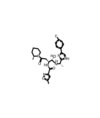 Cc1cc(C(=O)N[C@@H](CC(=O)N2CCCC[C@@H]2C)[C@H](O)N[C@@H](C)c2nc(-c3ccc(F)cc3)c[nH]2)no1